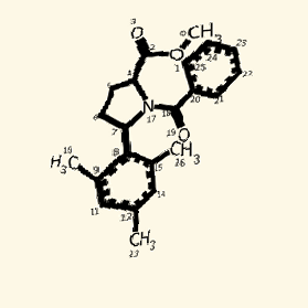 COC(=O)C1CCC(c2c(C)cc(C)cc2C)N1C(=O)c1ccccc1